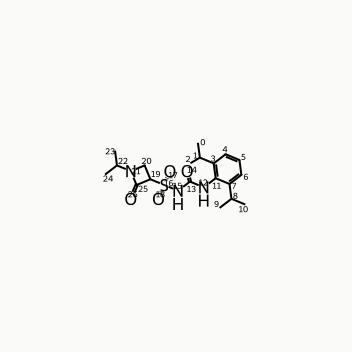 CC(C)c1cccc(C(C)C)c1NC(=O)NS(=O)(=O)C1CN(C(C)C)C1=O